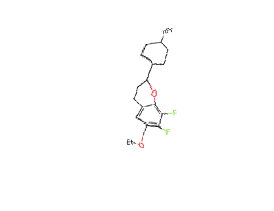 CCCC1CCC(C2CCc3cc(OCC)c(F)c(F)c3O2)CC1